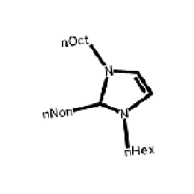 CCCCCCCCCC1N(CCCCCC)C=CN1CCCCCCCC